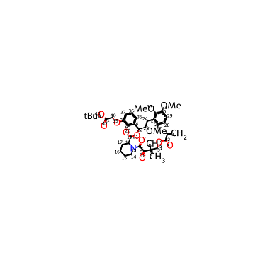 C=CC(=O)OCC(C)(C)C(=O)C(=O)N1CCCC[C@H]1C(=O)O[C@H](CCc1c(OC)ccc(OC)c1OC)c1cccc(OCC(=O)OC(C)(C)C)c1